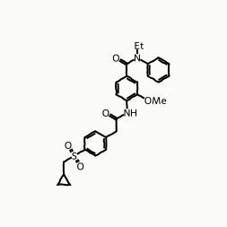 CCN(C(=O)c1ccc(NC(=O)Cc2ccc(S(=O)(=O)CC3CC3)cc2)c(OC)c1)c1ccccc1